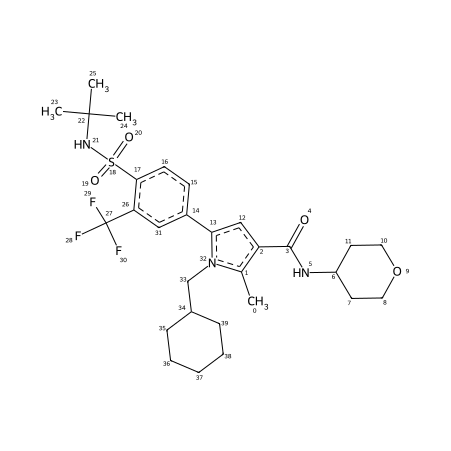 Cc1c(C(=O)NC2CCOCC2)cc(-c2ccc(S(=O)(=O)NC(C)(C)C)c(C(F)(F)F)c2)n1CC1CCCCC1